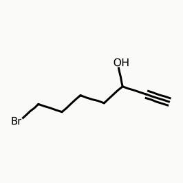 C#CC(O)CCCCBr